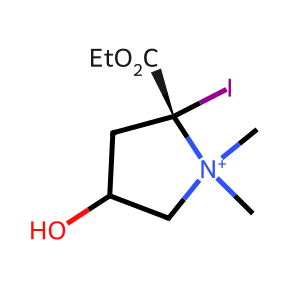 CCOC(=O)[C@]1(I)CC(O)C[N+]1(C)C